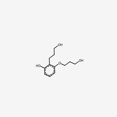 OCCCOc1cccc(O)c1CCCO